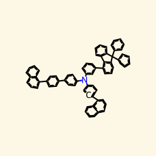 c1ccc(C2(c3ccccc3)c3ccccc3-c3c(-c4cccc(N(c5ccc(-c6ccc(-c7cccc8ccccc78)cc6)cc5)c5ccc(-c6cccc7ccccc67)cc5)c4)cccc32)cc1